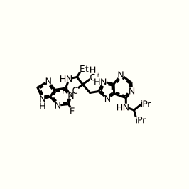 CCC(Nc1nc(F)nc2[nH]cnc12)C(C)(C)Cc1nc2c(NC(C(C)C)C(C)C)ncnc2[nH]1